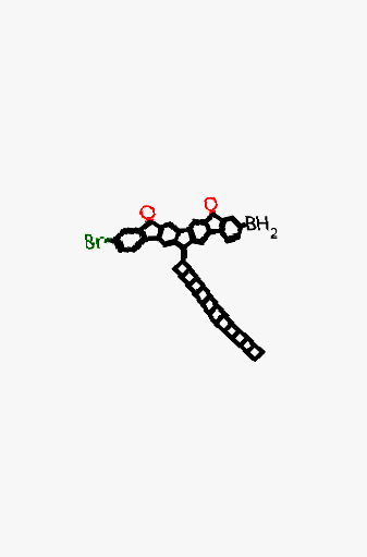 Bc1ccc2c(c1)C(=O)c1cc3c(cc1-2)/C(=C1/CC2C1C1C2C2C1C1C2C2C4C5C6C7C8CCC8C7C6C5C4C12)c1cc2c(cc1-3)C(=O)c1cc(Br)ccc1-2